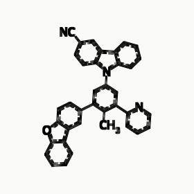 Cc1c(-c2ccc3oc4ccccc4c3c2)cc(-n2c3ccccc3c3cc(C#N)ccc32)cc1-c1ccccn1